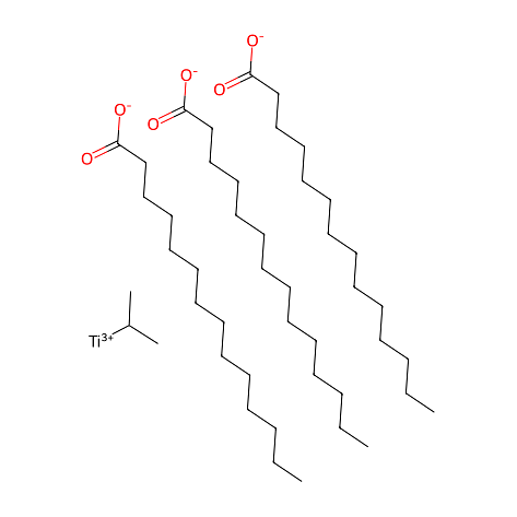 CCCCCCCCCCCCCC(=O)[O-].CCCCCCCCCCCCCC(=O)[O-].CCCCCCCCCCCCCC(=O)[O-].C[CH](C)[Ti+3]